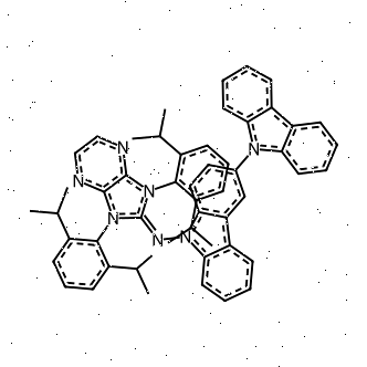 CC(C)c1cccc(C(C)C)c1-n1c(=Nn2c3ccccc3c3cc(-n4c5ccccc5c5ccccc54)ccc32)n(-c2c(C(C)C)cccc2C(C)C)c2nccnc21